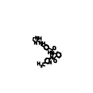 Cc1ccc(NC(=O)c2ccccc2NC(=O)c2ccc(CNC3=NCCN3)cc2)nc1